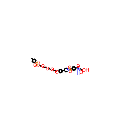 Cc1ccc(S(=O)(=O)OCCOCCOCCOCCOc2ccc(C3CCN(S(=O)(=O)c4ccc(C(=O)NCC(=O)O)cc4)CC3)cc2)cc1